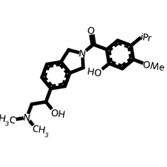 COc1cc(O)c(C(=O)N2Cc3ccc(C(O)CN(C)C)cc3C2)cc1C(C)C